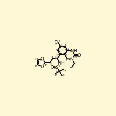 CCN1Cc2c(cc(Cl)cc2[C@H](CCC2OC=CO2)N[S+]([O-])C(C)(C)C)NC1=O